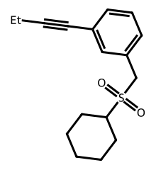 CCC#Cc1cccc(CS(=O)(=O)C2CCCCC2)c1